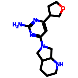 Nc1nc(C2CCOC2)cc(N2CC3CCCNC3C2)n1